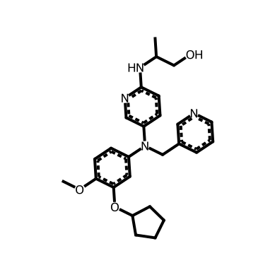 COc1ccc(N(Cc2cccnc2)c2ccc(NC(C)CO)nc2)cc1OC1CCCC1